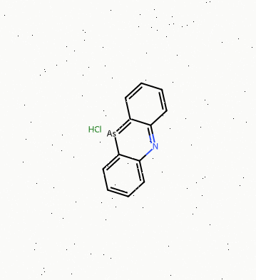 Cl.c1ccc2c(c1)N=c1ccccc1=[As]2